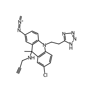 C#CCNC1(C)c2cc(Cl)ccc2N(CCc2nnn[nH]2)c2ccc(N=[N+]=C)cc21